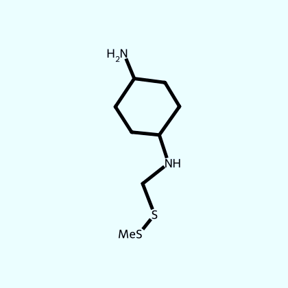 CSSCNC1CCC(N)CC1